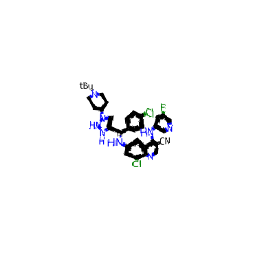 CC(C)(C)N1CCC(N2C=C([C@@H](Nc3cc(Cl)c4ncc(C#N)c(Nc5cncc(F)c5)c4c3)c3ccc(Cl)cc3)NN2)CC1